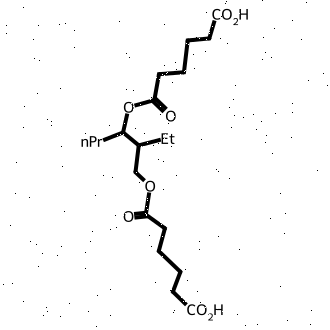 CCCC(OC(=O)CCCCC(=O)O)C(CC)COC(=O)CCCCC(=O)O